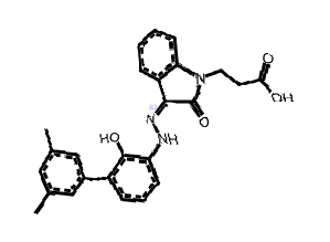 Cc1cc(C)cc(-c2cccc(N/N=C3\C(=O)N(CCC(=O)O)c4ccccc43)c2O)c1